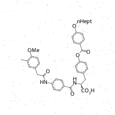 CCCCCCCOc1ccc(C(=O)Oc2ccc(C[C@H](NC(=O)c3ccc(NC(=O)Cc4ccc(OC)c(C)c4)cc3)C(=O)O)cc2)cc1